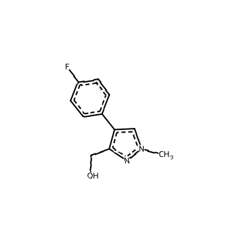 Cn1cc(-c2ccc(F)cc2)c(CO)n1